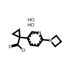 Cl.Cl.O=C(Cl)C1(c2ccc(N3CCC3)nc2)CC1